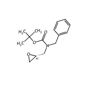 CC(C)(C)OC(=O)N(Cc1ccccc1)C[C@@H]1CO1